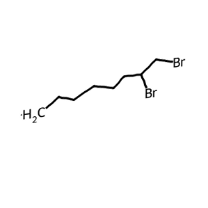 [CH2]CCCCCC(Br)CBr